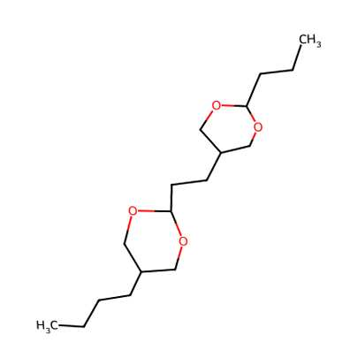 CCCCC1COC(CCC2COC(CCC)OC2)OC1